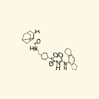 O=C(Nc1c2c(cc3c1CCC3)CCC2)NS(=O)(=O)c1ccc(CCNC(=O)[C@]23CC4CC(C[C@H](C4)C2)C3)cc1